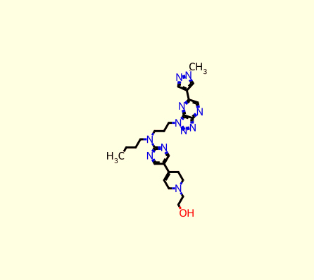 CCCCN(CCCn1nnc2ncc(-c3cnn(C)c3)nc21)c1ncc(C2=CCN(CCO)CC2)cn1